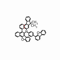 CC1(C)c2ccccc2-c2ccc(N(c3ccc(-c4cccc5c4oc4ccccc45)cc3)c3c(-c4ccccc4)c4ccccc4c4oc5ccccc5c34)cc21